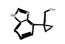 OCC1(c2cccc3[nH]cnc23)CC1